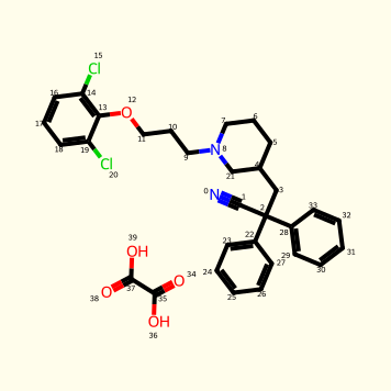 N#CC(CC1CCCN(CCCOc2c(Cl)cccc2Cl)C1)(c1ccccc1)c1ccccc1.O=C(O)C(=O)O